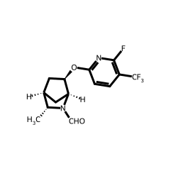 C[C@@H]1[C@H]2C[C@@H](Oc3ccc(C(F)(F)F)c(F)n3)[C@H](C2)N1C=O